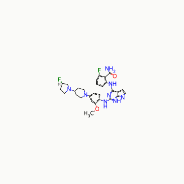 COc1cc(N2CCC(N3CC[C@@H](F)C3)CC2)ccc1Nc1nc(Nc2cccc(F)c2C(N)=O)c2ccnc-2[nH]1